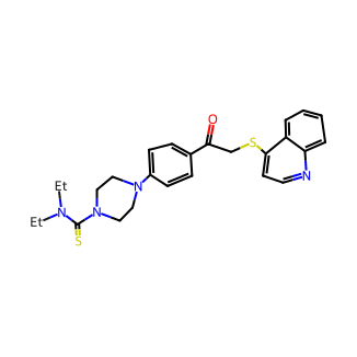 CCN(CC)C(=S)N1CCN(c2ccc(C(=O)CSc3ccnc4ccccc34)cc2)CC1